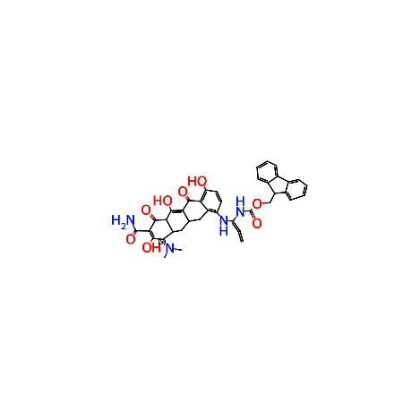 C=C=C(NC(=O)OCC1c2ccccc2-c2ccccc21)Nc1ccc(O)c2c1CC1CC3C(C(=O)C(C(N)=O)=C(O)[C@H]3N(C)C)C(O)=C1C2=O